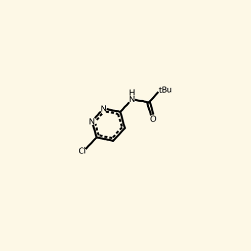 CC(C)(C)C(=O)Nc1ccc(Cl)nn1